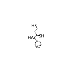 SCCC(S)[AsH]c1ccccc1